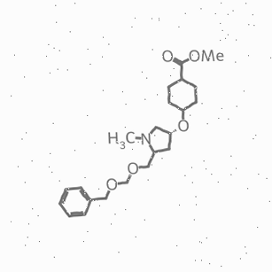 COC(=O)C1CCC(O[C@@H]2CC(COCOCc3ccccc3)N(C)C2)CC1